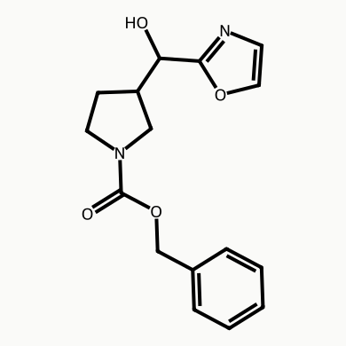 O=C(OCc1ccccc1)N1CCC(C(O)c2ncco2)C1